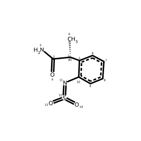 C[C@@H](C(N)=O)c1ccccc1N=S(=O)=O